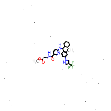 COC(=O)CCNC(=O)c1ccc(NC(c2ccc(-n3cc(C(F)(F)F)cn3)cc2C)C2CCCCC2)nc1